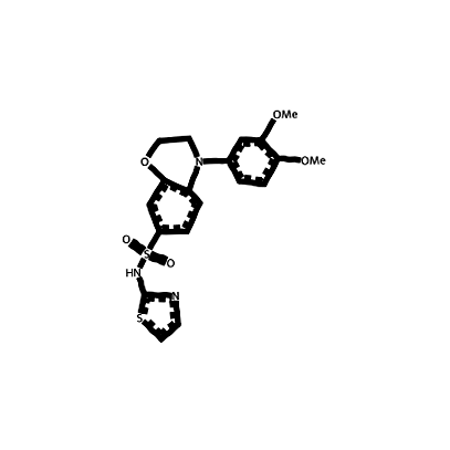 COc1ccc(N2CCOc3cc(S(=O)(=O)Nc4nccs4)ccc32)cc1OC